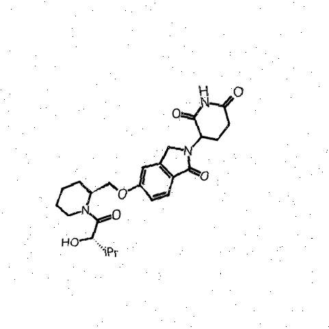 CC(C)[C@H](O)C(=O)N1CCCC[C@H]1COc1ccc2c(c1)CN(C1CCC(=O)NC1=O)C2=O